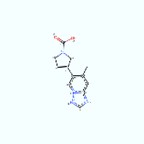 Cc1cc2ncnn2cc1C1=CCN(C(=O)O)C1